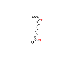 COC(=O)CCCCCCCC(C)O